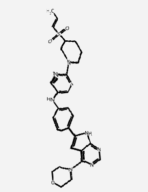 C/C=C/S(=O)(=O)C1CCCN(c2ncc(Nc3ccc(-c4cc5c(N6CCOCC6)ncnc5[nH]4)cc3)cn2)C1